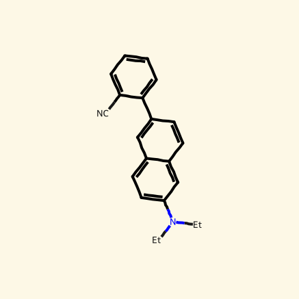 CCN(CC)c1ccc2cc(-c3ccccc3C#N)ccc2c1